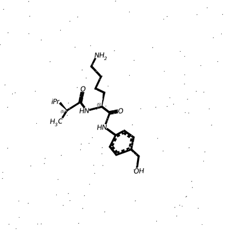 CC(C)[C@H](C)C(=O)N[C@@H](CCCCN)C(=O)Nc1ccc(CO)cc1